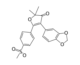 CC1(C)OC(c2ccc(S(C)(=O)=O)cc2)=C(c2ccc3c(c2)OCO3)C1=O